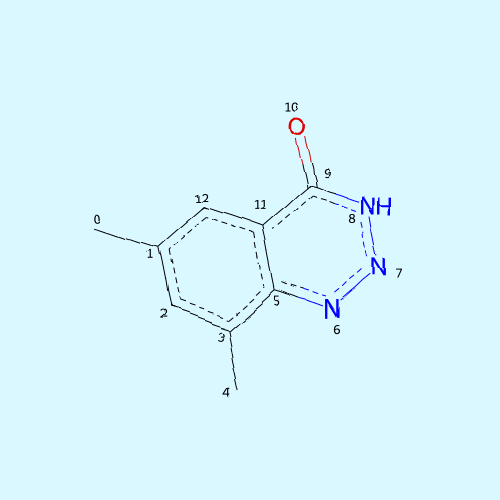 Cc1cc(C)c2nn[nH]c(=O)c2c1